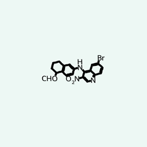 O=CC1CCCc2cc(Nc3c([N+](=O)[O-])cnc4ccc(Br)cc34)ccc21